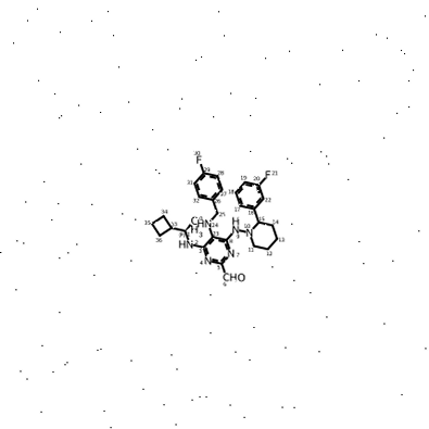 C[C@@H](Nc1nc(C=O)nc(NN2CCCCC2c2cccc(F)c2)c1NCc1ccc(F)cc1)C1CCC1